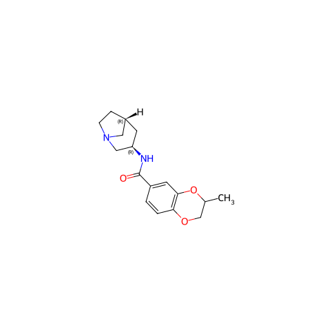 CC1COc2ccc(C(=O)N[C@@H]3C[C@H]4CCN(C4)C3)cc2O1